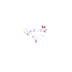 CCC1(c2ccc(N)cc2)CCC(=O)NC1=O.O=C1[C@H]2CCCC[C@H]2C(=O)N1CCCCN1CCN(c2nsc3ccccc23)CC1